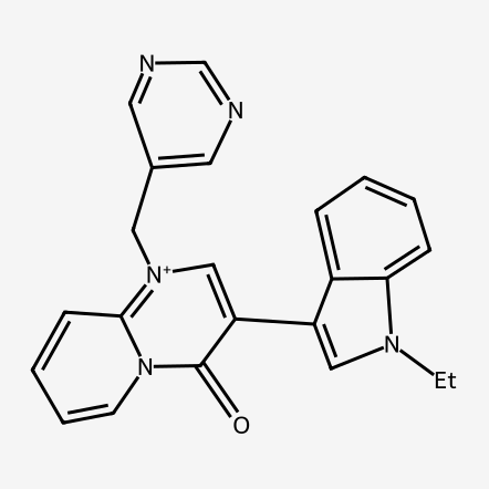 CCn1cc(-c2c[n+](Cc3cncnc3)c3ccccn3c2=O)c2ccccc21